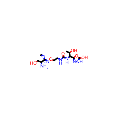 C=N/C(=N\OCCNC(=O)NC(C1=NNC(O)O1)C(C)O)C(N)CO